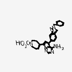 Nc1ncnn2c(C3CCCN(C(=O)O)CC3)cc(-c3ccc4cn(Cc5ccccc5)nc4c3)c12